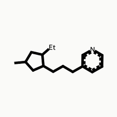 CCC1CC(C)CC1CCCc1cccnc1